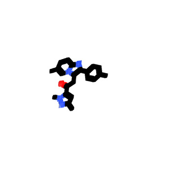 Cc1ccc(-c2nc3ccc(C)cn3c2CC(=O)c2cc(C)nn2C)cc1